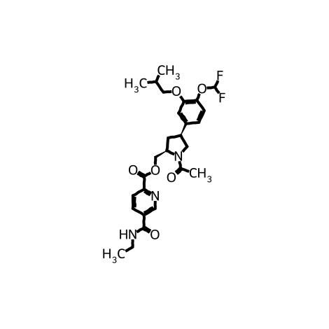 CCNC(=O)c1ccc(C(=O)OC[C@H]2C[C@@H](c3ccc(OC(F)F)c(OCC(C)C)c3)CN2C(C)=O)nc1